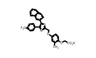 Cc1cc(OCc2nc(-c3ccc(C(F)(F)F)cc3)c(-c3ccc4ccccc4c3)s2)ccc1OCC(=O)O